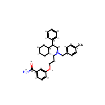 N#Cc1ccc(CN(CCCOc2cccc(C(N)=O)c2)CC(c2ccccc2)C2CCCCC2)cc1